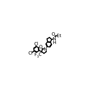 CCC(=O)NC1CCc2cc(N3CCC(c4cc(Cl)cc(Cl)c4)(C(F)(F)F)C3=O)ccc21